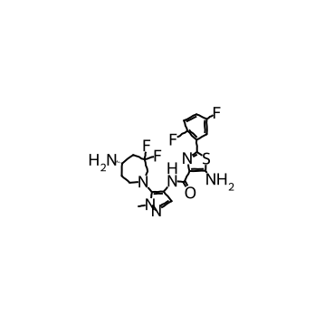 Cn1ncc(NC(=O)c2nc(-c3cc(F)ccc3F)sc2N)c1N1CC[C@H](N)CC(F)(F)C1